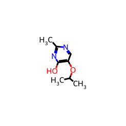 Cc1ncc(OC(C)C)c(O)n1